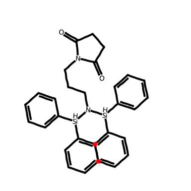 O=C1CCC(=O)N1CCCN([SiH](c1ccccc1)c1ccccc1)[SiH](c1ccccc1)c1ccccc1